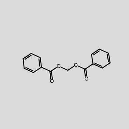 O=C(O[CH]OC(=O)c1ccccc1)c1ccccc1